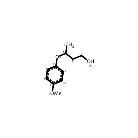 COc1ccc(OC(C)CCO)cc1